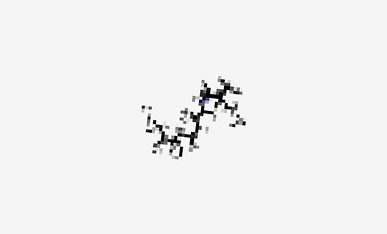 COCOC(=C(C)C)/C(C)=C\C(C)C(=O)CC(C)CC(=O)C(C)COC